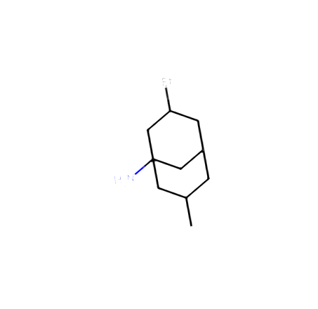 CCC1CC2CC(C)CC(N)(C1)C2